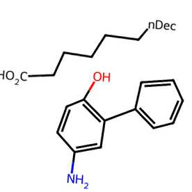 CCCCCCCCCCCCCCCC(=O)O.Nc1ccc(O)c(-c2ccccc2)c1